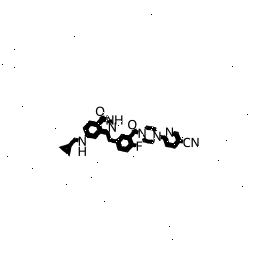 N#Cc1ccc(N2CCN(C(=O)c3cc(Cc4n[nH]c(=O)c5ccc(NCC6CC6)cc45)ccc3F)CC2)nc1